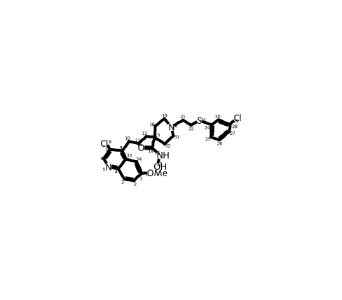 COc1ccc2ncc(Cl)c(CCCC3(C(=O)NO)CCN(CCSc4cccc(Cl)c4)CC3)c2c1